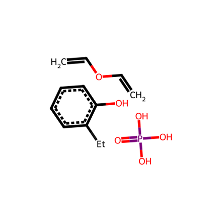 C=COC=C.CCc1ccccc1O.O=P(O)(O)O